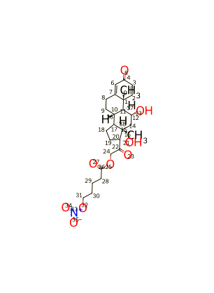 C[C@]12C=CC(=O)C=C1CC[C@@H]1[C@@H]2[C@@H](O)C[C@@]2(C)[C@H]1CC[C@]2(O)C(=O)COC(=O)CCCCO[N+](=O)[O-]